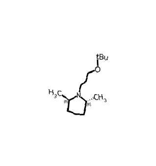 C[C@@H]1CCC[C@@H](C)N1CCCOC(C)(C)C